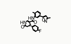 Cc1cc(-c2ccc(C)c(NC(=O)C3=CNC(=O)C[C@H]3c3ccc(F)cc3)c2)on1